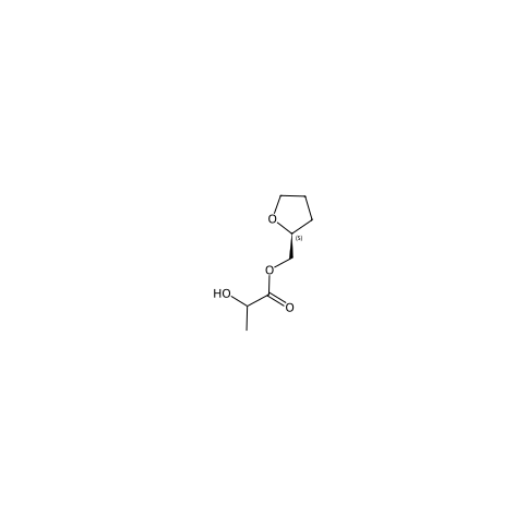 CC(O)C(=O)OC[C@@H]1CCCO1